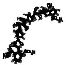 O=C(Nc1ccc(C(=O)Nc2cc(O)c3cccc(S(=O)(=O)O)c3c2)cc1)Nc1ccc(C(=O)Nc2cc(O)c3cccc(S(=O)(=O)O)c3c2)cc1